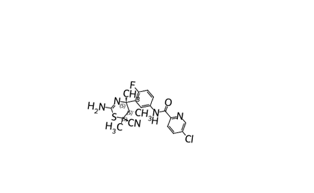 C[C@@H]1[C@@](C)(C#N)SC(N)=N[C@]1(C)c1cc(NC(=O)c2ccc(Cl)cn2)ccc1F